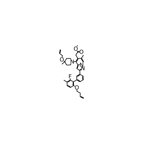 C=CCCOc1ccc(C)c(F)c1-c1cccc(-c2cc3c(N4CCC(C)(OCC=C)CC4)c(CC(=O)OC)c(C)cn3n2)c1